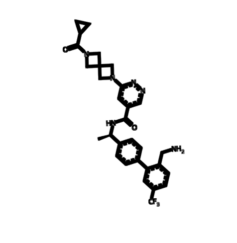 C[C@@H](NC(=O)c1cnnc(N2CC3(CN(C(=O)C4CC4)C3)C2)c1)c1ccc(-c2cc(C(F)(F)F)ccc2CN)cc1